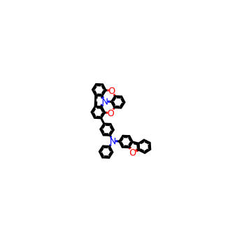 c1ccc(N(c2ccc(-c3ccc4c5cccc6c5n5c4c3Oc3cccc(c3-5)O6)cc2)c2ccc3c(c2)oc2ccccc23)cc1